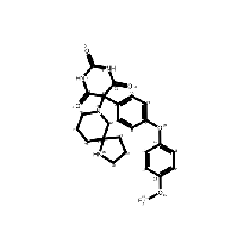 O=C1NC(=O)C(c2ccc(Oc3ccc(OC(F)(F)F)cc3)cc2)(N2CCCC3(CCCN3)C2)C(=O)N1